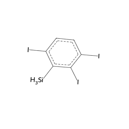 [SiH3]c1c(I)ccc(I)c1I